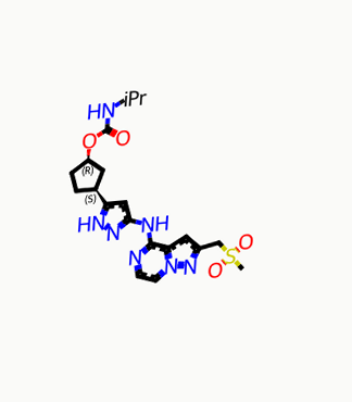 CC(C)NC(=O)O[C@@H]1CC[C@H](c2cc(Nc3nccn4nc(CS(C)(=O)=O)cc34)n[nH]2)C1